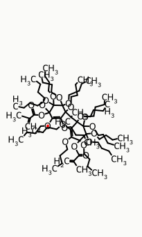 C=C(C)C(=O)OC1(OCCCC)C(OCCCC)=C(OCCCC)C(OCCCC)(C(C)(C)C2(OCCCC)C(OCCCC)=C(OCCCC)C(OCCCC)(OC(=O)C(=C)C)C(OCCCC)(OCCCC)C2(OCCCC)OCCCC)C(OCCCC)(OCCCC)C1(OCCCC)OCCCC